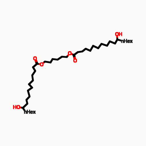 CCCCCCC(O)CCCCCCCCCCC(=O)OCCCCCCOC(=O)CCCCCCCCCCC(O)CCCCCC